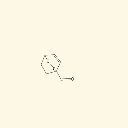 O=CC12C=CC(CC1)CC2